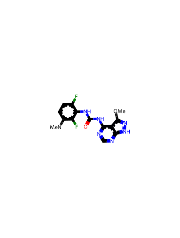 CNc1ccc(F)c(NC(=O)Nc2ncnc3[nH]nc(OC)c23)c1F